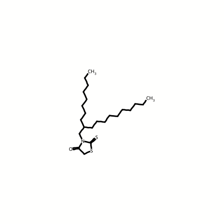 CCCCCCCCCCC(CCCCCCCC)CN1C(=O)CSC1=S